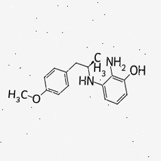 COc1ccc(C[C@@H](C)Nc2cccc(O)c2N)cc1